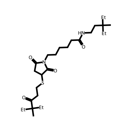 CCC(C)(CC)CCNC(=O)CCCCCN1C(=O)CC(SCCC(=O)C(C)(CC)CC)C1=O